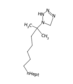 CCCCCCCCCCCCC(C)(C)N1CN=NN1